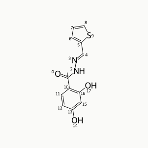 O=C(NN=Cc1cccs1)c1ccc(O)cc1O